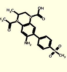 CC(=O)N1c2cc(N)c(-c3ccc(S(C)(=O)=O)cc3)cc2N(C(=O)O)CC1C